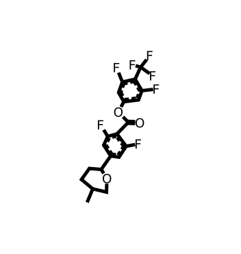 CC1CCC(c2cc(F)c(C(=O)Oc3cc(F)c(C(F)(F)F)c(F)c3)c(F)c2)OC1